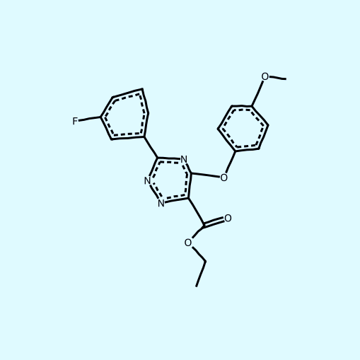 CCOC(=O)c1nnc(-c2cccc(F)c2)nc1Oc1ccc(OC)cc1